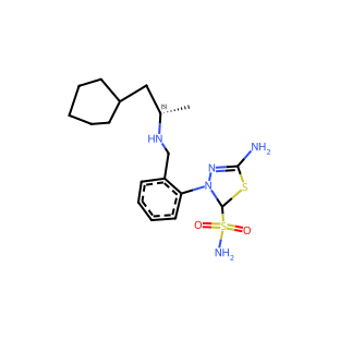 C[C@@H](CC1CCCCC1)NCc1ccccc1N1N=C(N)SC1S(N)(=O)=O